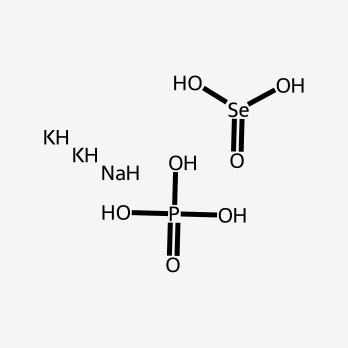 O=P(O)(O)O.O=[Se](O)O.[KH].[KH].[NaH]